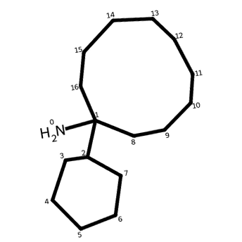 NC1(C2CCCCC2)CCCCCCCCC1